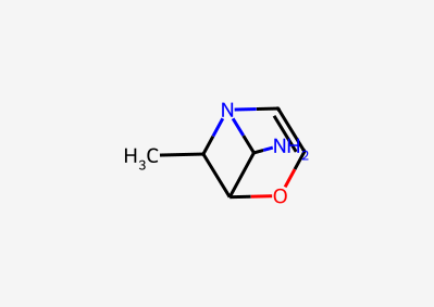 CC1C2OC=CN1C2N